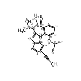 CC#Cc1ccc2nc(C(CC)N(C)C)n(-c3c(C=O)cccc3OC(F)F)c2c1